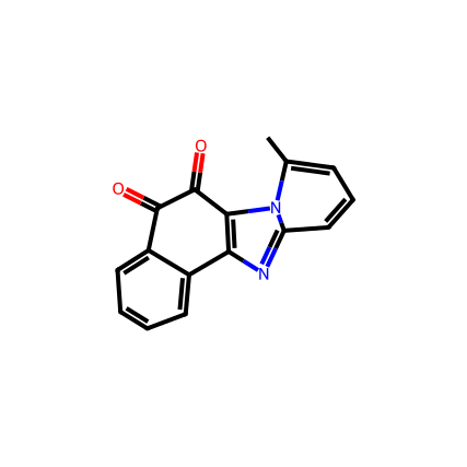 Cc1cccc2nc3c(n12)C(=O)C(=O)c1ccccc1-3